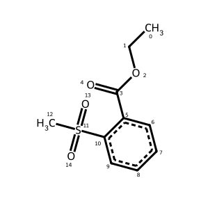 CCOC(=O)c1ccccc1S(C)(=O)=O